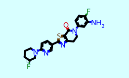 Nc1cc(N2CCc3nc(-c4ccc(N5CCC[C@H](F)C5)nc4)sc3C2=O)ccc1F